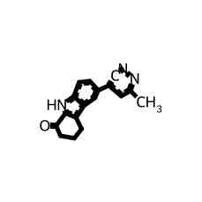 Cc1cc(-c2ccc3[nH]c4c(c3c2)CCCC4=O)cnn1